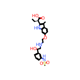 CC[C@@H](C(=O)O)c1[nH]c2cc(OCCNCC(O)c3cccc(NS(C)(=O)=O)c3)ccc2c1C